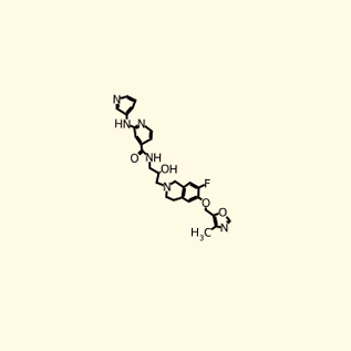 Cc1ncoc1COc1cc2c(cc1F)CN(C[C@@H](O)CNC(=O)c1ccnc(Nc3cccnc3)c1)CC2